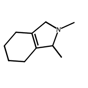 CC1C2=C(CCCC2)CN1C